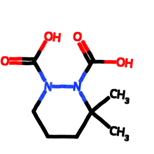 CC1(C)CCCN(C(=O)O)N1C(=O)O